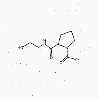 CCC(=O)N1CCCC1C(=O)NCCO